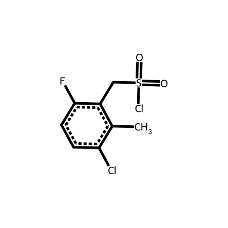 Cc1c(Cl)ccc(F)c1CS(=O)(=O)Cl